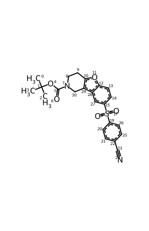 CC(C)(C)OC(=O)N1CCc2oc3ccc(S(=O)(=O)c4ccc(C#N)cc4)cc3c2C1